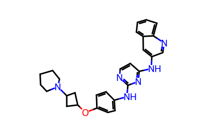 c1ccc2ncc(Nc3ccnc(Nc4ccc(OC5CC(N6CCCCC6)C5)cc4)n3)cc2c1